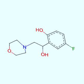 Oc1ccc(F)cc1C(O)CN1CCOCC1